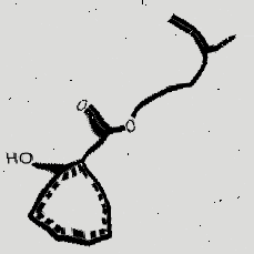 C=C(C)CCOC(=O)c1ccccc1O